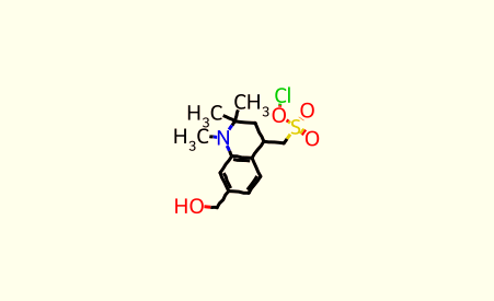 CN1c2cc(CO)ccc2C(CS(=O)(=O)OCl)CC1(C)C